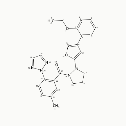 CCOc1ncccc1-c1cc(C2CCCN2C(=O)c2cc(C)ccc2-n2nccn2)on1